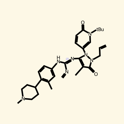 C=CCn1c(=O)c(C)c(/N=C(\N=C)Nc2ccc(C3CCN(C)CC3)c(C)c2)n1-c1ccc(=O)n(C(C)(C)C)c1